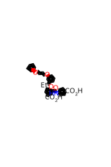 CCC(Oc1ccc(C(=O)O)cc1C(=O)Nc1ccc(C(=O)O)cc1)c1cccc(OCCCCOc2ccccc2)c1